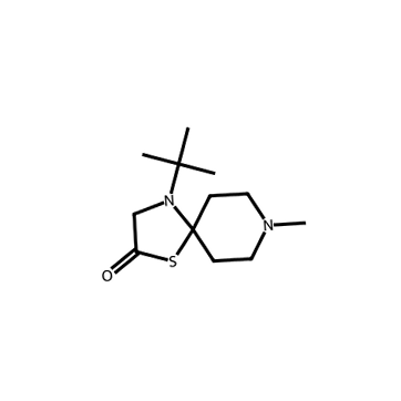 CN1CCC2(CC1)SC(=O)CN2C(C)(C)C